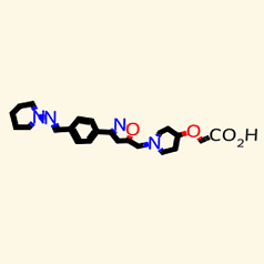 O=C(O)COC1CCN(CC2CC(c3ccc(C=NN4CCCCC4)cc3)=NO2)CC1